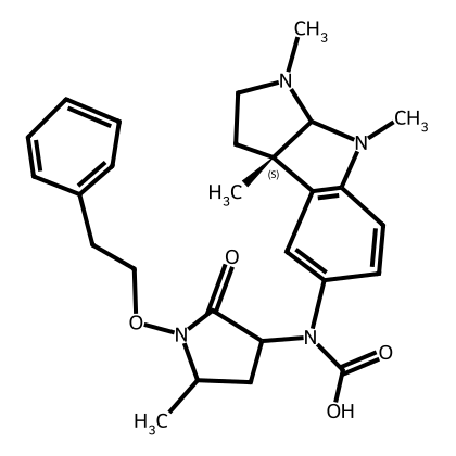 CC1CC(N(C(=O)O)c2ccc3c(c2)[C@]2(C)CCN(C)C2N3C)C(=O)N1OCCc1ccccc1